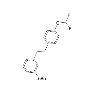 CCCCc1cccc(CCc2ccc(OC(F)F)cc2)c1